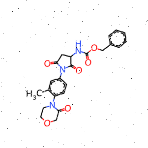 Cc1cc(N2C(=O)CC(NC(=O)OCc3ccccc3)C2=O)ccc1N1CCOCC1=O